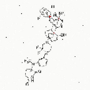 CN(c1cccc([C@@H]2CCN(C3CCC(c4ccnc(N5[C@@H]6CC[C@H]5CN(c5cc(-c7ccccc7O)nnc5N)C6)n4)CC3)CC2(F)F)c1)[C@@H]1CCC(=O)NC1=O